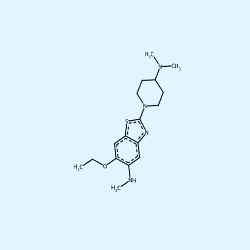 CCOc1cc2sc(N3CCC(N(C)C)CC3)nc2cc1NC